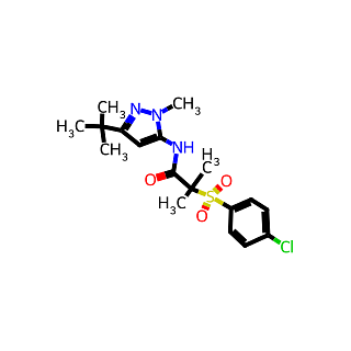 Cn1nc(C(C)(C)C)cc1NC(=O)C(C)(C)S(=O)(=O)c1ccc(Cl)cc1